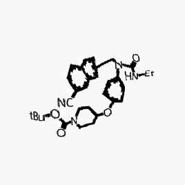 CCNC(=O)N(Cc1ccc2ccc(C#N)cc2c1)c1ccc(OC2CCN(C(=O)OC(C)(C)C)CC2)cc1